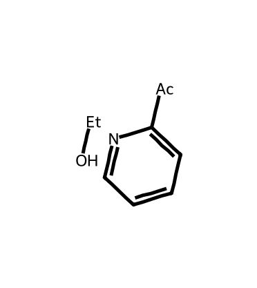 CC(=O)c1ccccn1.CCO